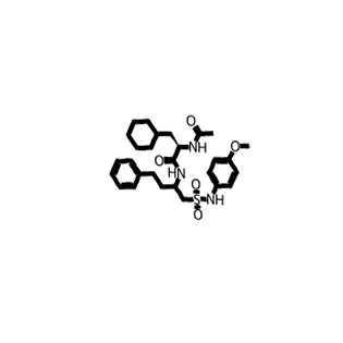 COc1ccc(NS(=O)(=O)CC(CCc2ccccc2)NC(=O)[C@@H](CC2CCCCC2)NC(C)=O)cc1